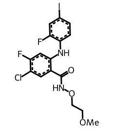 COCCONC(=O)c1cc(Cl)c(F)cc1Nc1ccc(I)cc1F